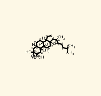 CC(C)CCC[C@@H](C)[C@H]1CC[C@H]2[C@@H]3CC[C@@H]4CC(O)(O)C(O)(O)C[C@]4(C)[C@H]3CC[C@]12C